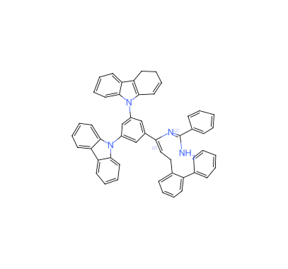 N/C(=N\C(=C/Cc1ccccc1-c1ccccc1)c1cc(-n2c3c(c4ccccc42)CCC=C3)cc(-n2c3ccccc3c3ccccc32)c1)c1ccccc1